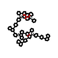 c1ccc(-n2c3ccccc3c3c(-c4cccc(-c5ccccc5N(c5ccc(-c6ccc(-c7cc(-c8cccc(-n9c%10ccccc%10c%10c(-c%11cccc(-c%12ccccc%12N(c%12ccc(-c%13ccc(-c%14cccc%15ccccc%14%15)cc%13)cc%12)c%12ccc(-c%13ccc(-c%14cccc%15ccccc%14%15)cc%13)cc%12)c%11)cccc%109)c8)cc8ccccc78)cc6)cc5)c5ccc6ccccc6c5)c4)cccc32)cc1